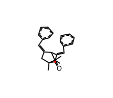 CC12CC(=Cc3ccccc3)C(C(=Cc3ccccc3)C1=O)C2(C)C